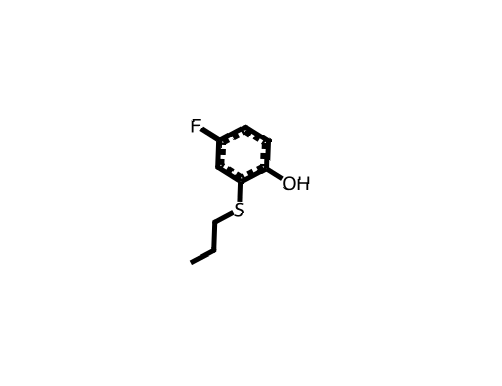 CCCSc1cc(F)ccc1O